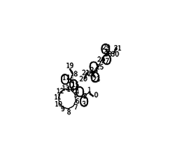 C=CC(=O)OC1CCCCCCCCC1OC(=O)C=C.C=CC(=O)OCCOC(=O)C=C